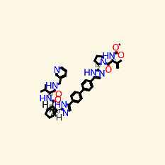 C=C(C)[C@H](NC(=O)OC)C(=O)N1CCC[C@H]1c1ncc(-c2ccc(-c3ccc(-c4cnc([C@@H]5[C@H]6CC[C@H](C6)[C@H]5C(=O)N[C@H](C(=O)NCc5cccnc5)C(C)C)[nH]4)cc3)cc2)[nH]1